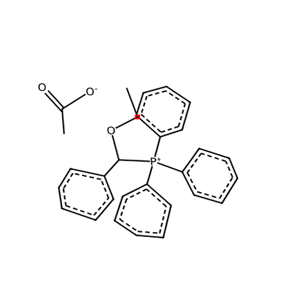 CC(=O)[O-].CCOC(c1ccccc1)[P+](c1ccccc1)(c1ccccc1)c1ccccc1